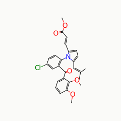 COC(=O)C=Cc1ccc(C=C(C)C)n1-c1ccc(Cl)cc1C(=O)c1cccc(OC)c1OC